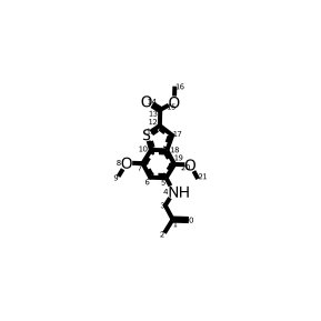 C=C(C)CNc1cc(OC)c2sc(C(=O)OC)cc2c1OC